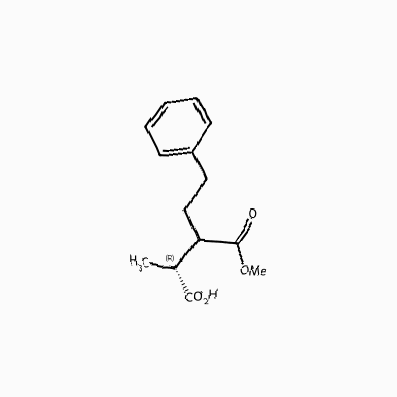 COC(=O)C(CCc1ccccc1)[C@@H](C)C(=O)O